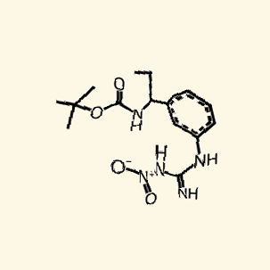 CCC(NC(=O)OC(C)(C)C)c1cccc(NC(=N)N[N+](=O)[O-])c1